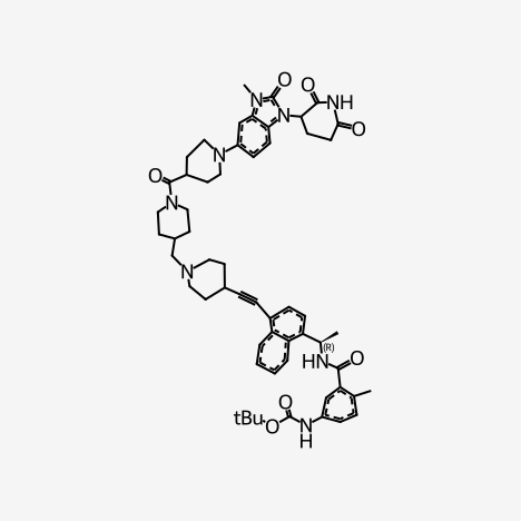 Cc1ccc(NC(=O)OC(C)(C)C)cc1C(=O)N[C@H](C)c1ccc(C#CC2CCN(CC3CCN(C(=O)C4CCN(c5ccc6c(c5)n(C)c(=O)n6C5CCC(=O)NC5=O)CC4)CC3)CC2)c2ccccc12